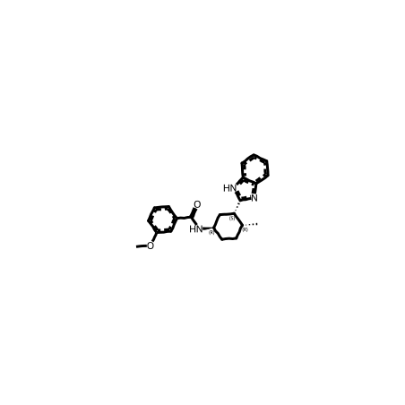 COc1cccc(C(=O)N[C@@H]2CC[C@@H](C)[C@@H](c3nc4ccccc4[nH]3)C2)c1